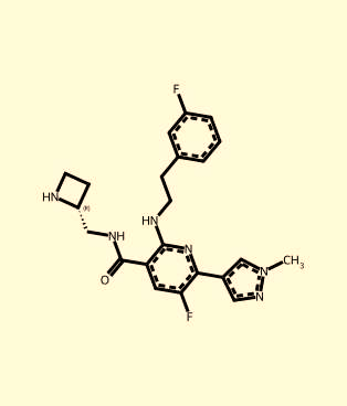 Cn1cc(-c2nc(NCCc3cccc(F)c3)c(C(=O)NC[C@H]3CCN3)cc2F)cn1